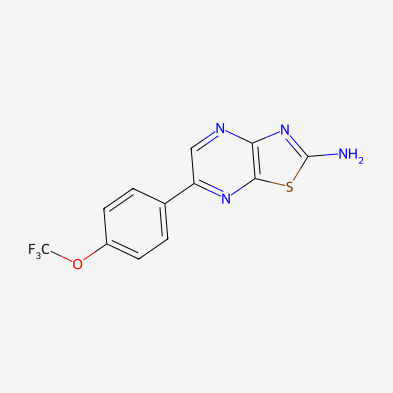 Nc1nc2ncc(-c3ccc(OC(F)(F)F)cc3)nc2s1